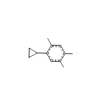 O=C(O)c1cc(C2CC2)c(Cl)cc1O